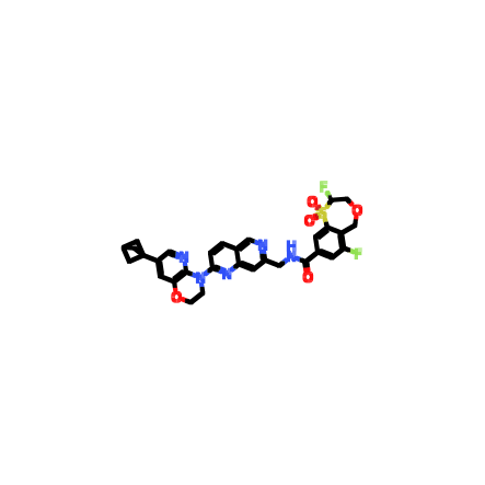 O=C(NCc1cc2nc(N3CCOc4cc(C56CC(C5)C6)cnc43)ccc2cn1)c1cc(F)c2c(c1)S(=O)(=O)[C@@H](F)COC2